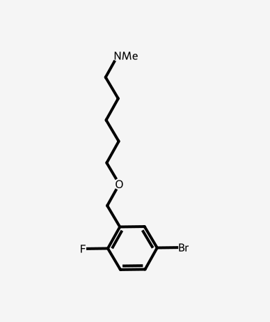 CNCCCCCOCc1cc(Br)ccc1F